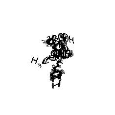 CCOC(=O)[C@@H](CCCCC1CCNCC1)NC1CSC(c2cccs2)CN(CC(=O)O)C1=O.Cl.Cl